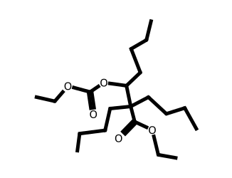 CCCCC(OC(=O)OCC)C(CCCC)(CCCC)C(=O)OCC